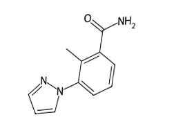 Cc1c(C(N)=O)cccc1-n1cccn1